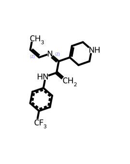 C=C(Nc1ccc(C(F)(F)F)cc1)/C(=N\C=C/C)C1=CCNCC1